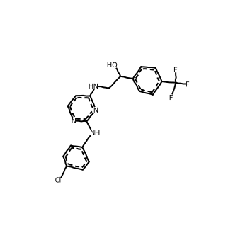 OC(CNc1ccnc(Nc2ccc(Cl)cc2)n1)c1ccc(C(F)(F)F)cc1